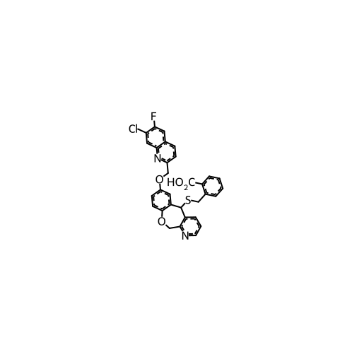 O=C(O)c1ccccc1CSC1c2cc(OCc3ccc4cc(F)c(Cl)cc4n3)ccc2OCc2ncccc21